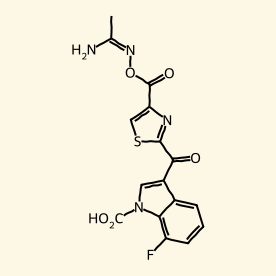 C/C(N)=N/OC(=O)c1csc(C(=O)c2cn(C(=O)O)c3c(F)cccc23)n1